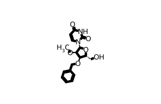 CO[C@@H]1[C@H](OCc2ccccc2)[C@@H](CO)O[C@H]1n1ccc(=O)[nH]c1=O